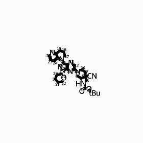 CC(C)(C)OC(=O)NCC1(C#N)CCN(c2cnc3c(N4CCCc5ncccc54)nn(C4CCCCO4)c3n2)CC1